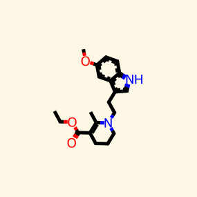 CCOC(=O)C1=C(C)N(CCc2c[nH]c3ccc(OC)cc23)CCC1